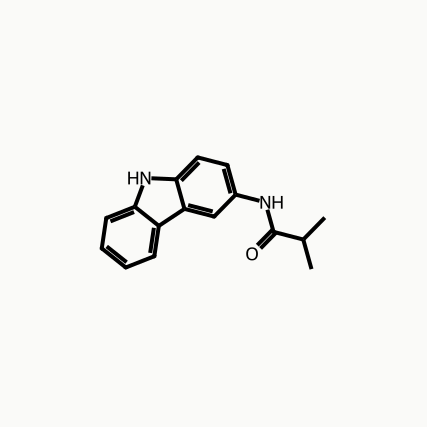 CC(C)C(=O)Nc1ccc2[nH]c3ccccc3c2c1